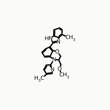 COCC1COc2c(-c3nc4c(C)cccc4[nH]3)cccc2N1c1ccc(C)cn1